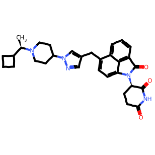 C[C@H](C1CCC1)N1CCC(n2cc(Cc3ccc4c5c(cccc35)C(=O)N4[C@@H]3CCC(=O)NC3=O)cn2)CC1